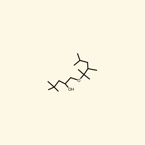 CC(C)CC(C)C(C)(C)OCC(O)CC(C)(C)C